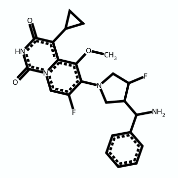 COc1c(N2CC(F)C(C(N)c3ccccc3)C2)c(F)cn2c(=O)[nH]c(=O)c(C3CC3)c12